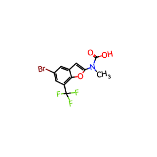 CN(C(=O)O)c1cc2cc(Br)cc(C(F)(F)F)c2o1